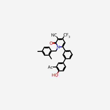 CC(=O)c1cc(-c2cccc(-c3cc(C(F)(F)F)c(C#N)c(=O)n3Cc3ccc(C)cc3C)c2)ccc1O